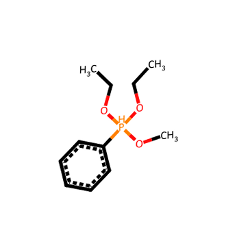 CCO[PH](OC)(OCC)c1ccccc1